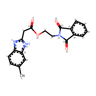 N#Cc1ccc2nc(CC(=O)OCCN3C(=O)c4ccccc4C3=O)[nH]c2c1